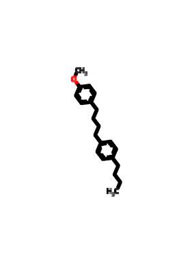 CCCCc1ccc(CCCCc2ccc(OC)cc2)cc1